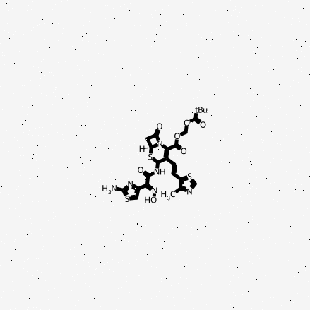 Cc1ncsc1C=CC1=C(C(=O)OCOC(=O)C(C)(C)C)N2C(=O)C[C@@H]2SC1NC(=O)C(=NO)c1csc(N)n1